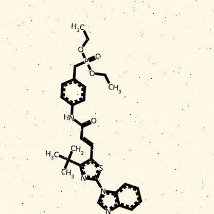 CCOP(=O)(Cc1ccc(NC(=O)/C=C/c2sc(-n3cnc4ccccc43)nc2C(C)(C)C)cc1)OCC